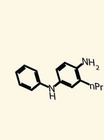 CCCc1cc(Nc2ccccc2)ccc1N